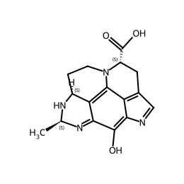 C[C@@H]1N=c2c(O)c3c4c5c2[C@H](CCN5[C@H](C(=O)O)CC=4C=N3)N1